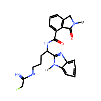 CCN1Cc2cccc(C(=O)NC(CCCNC(=N)CF)c3nc4ccccc4n3C(C)C)c2C1=O